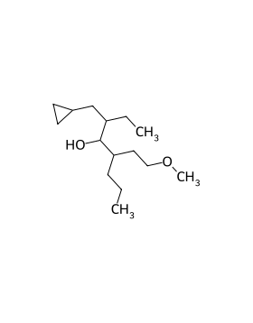 CCCC(CCOC)C(O)C(CC)CC1CC1